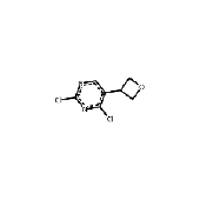 Clc1ncc(C2COC2)c(Cl)n1